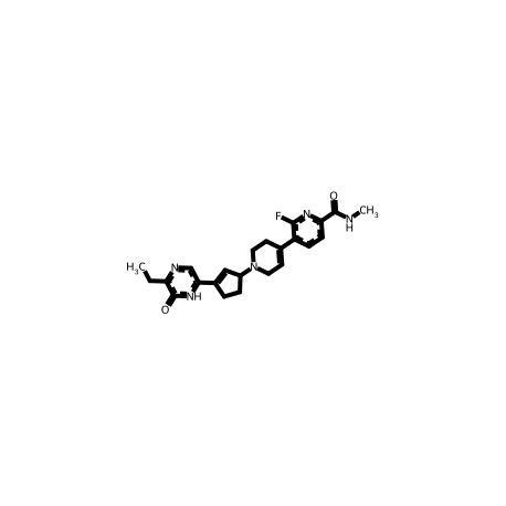 CCc1ncc(C2=CC(N3CC=C(c4ccc(C(=O)NC)nc4F)CC3)CC2)[nH]c1=O